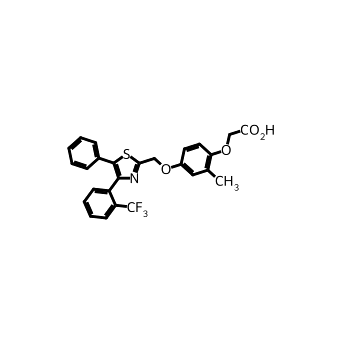 Cc1cc(OCc2nc(-c3ccccc3C(F)(F)F)c(-c3ccccc3)s2)ccc1OCC(=O)O